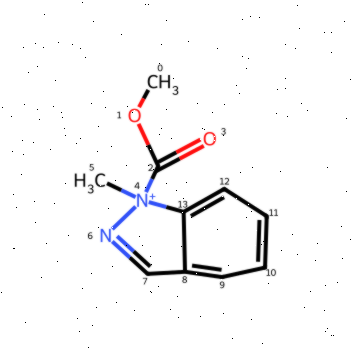 COC(=O)[N+]1(C)N=Cc2ccccc21